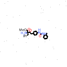 COC(=O)[C@@](N)(CC(C)C)C(=O)Cc1ccc(NC(=O)Nc2ccccc2C)cc1